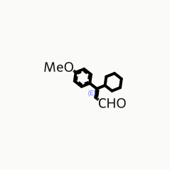 COc1ccc(/C(=C/C=O)C2CCCCC2)cc1